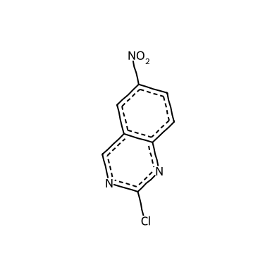 O=[N+]([O-])c1ccc2nc(Cl)ncc2c1